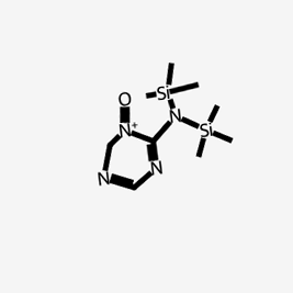 C[Si](C)(C)N(C1=NC=NC[N+]1=O)[Si](C)(C)C